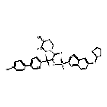 N[C@H]1CCN(C(=O)[C@@H](NS(=O)(=O)c2ccc3cc(OC4CCCC4)ccc3c2)C(F)(F)c2ccc(-c3ccc(Cl)cc3)cc2)C[C@@H]1F